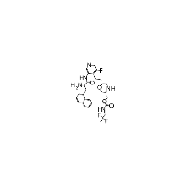 CC(F)(F)CNC(=O)OC[C@@H]1CO[C@H](CCc2c(F)cncc2NC(=O)[C@@H](N)Cc2cccc3ccccc23)CN1